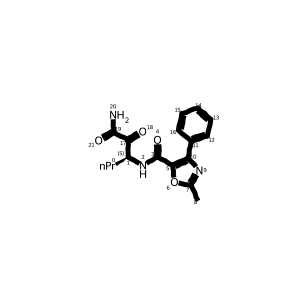 CCC[C@H](NC(=O)c1oc(C)nc1-c1ccccc1)C(=O)C(N)=O